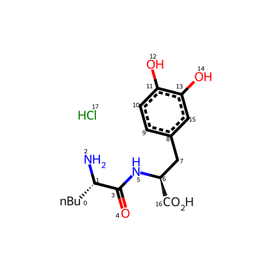 CCCC[C@H](N)C(=O)N[C@@H](Cc1ccc(O)c(O)c1)C(=O)O.Cl